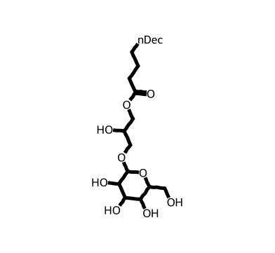 CCCCCCCCCCCCCC(=O)OCC(O)COC1OC(CO)C(O)C(O)C1O